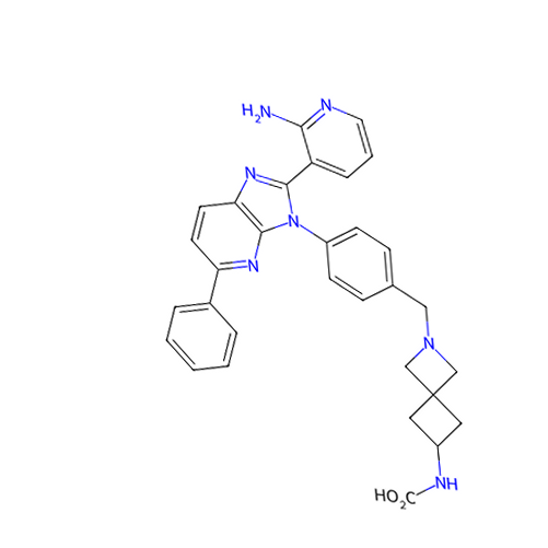 Nc1ncccc1-c1nc2ccc(-c3ccccc3)nc2n1-c1ccc(CN2CC3(CC(NC(=O)O)C3)C2)cc1